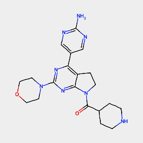 Nc1ncc(-c2nc(N3CCOCC3)nc3c2CCN3C(=O)C2CCNCC2)cn1